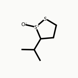 CC(C)C1CCS[S+]1[O-]